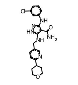 NC(=O)c1c(Nc2cccc(Cl)c2)n[nH]c1NCc1ccc(C2CCOCC2)nc1